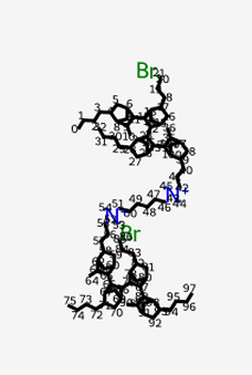 CCCCC1CC2CC1C(C)C2C1C2CC(CC2CCCBr)C1C1C2CC(CC2CCCC)C1C1C(C)C2CC(CCC[N+](C)(C)CCCCCC[N+](C)(C)CCCC3CC4CC3C(C)C4C3C4CC(CC4CCCC)C3C3C4CC(CC4CCCBr)C3C3C(C)C4CC(CCCC)C3C4)C1C2